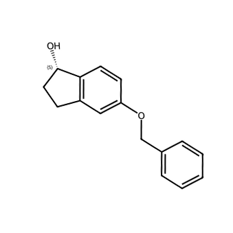 O[C@H]1CCc2cc(OCc3ccccc3)ccc21